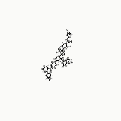 Cc1cc(S(=O)(=O)NC(=O)c2ccc(N3CCN(Cc4ccccc4-c4ccc(Cl)cc4)CC3)cc2Oc2cccc3[nH]ccc23)ccc1NCCCN(C)C